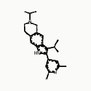 Cc1cc(-c2[nH]c3cc4c(cc3c2C(C)C)CN(C(C)C)CC4)cc(C)n1